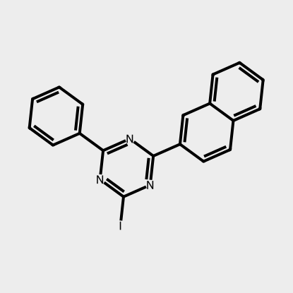 Ic1nc(-c2ccccc2)nc(-c2ccc3ccccc3c2)n1